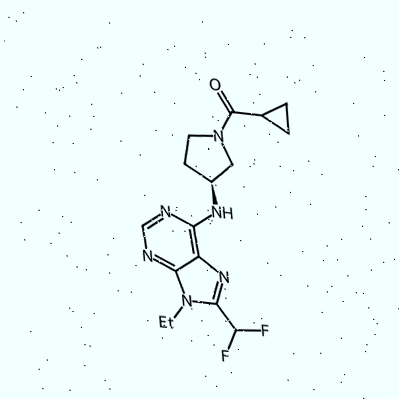 CCn1c(C(F)F)nc2c(N[C@H]3CCN(C(=O)C4CC4)C3)ncnc21